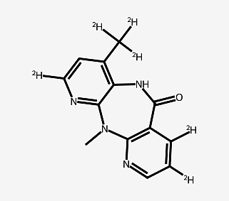 [2H]c1cc(C([2H])([2H])[2H])c2c(n1)N(C)c1ncc([2H])c([2H])c1C(=O)N2